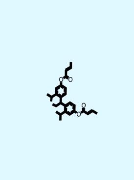 CC=CC(=O)Oc1ccc(C(CC)c2ccc(OC(=O)C=CC)cc2C(C)C)c(C(C)C)c1